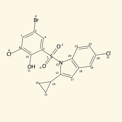 O=S(=O)(c1cc(Br)cc(Cl)c1O)n1c(C2CC2)cc2cc(Cl)ccc21